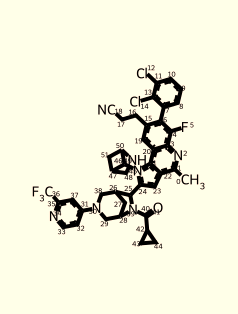 Cc1nc2c(F)c(-c3cccc(Cl)c3Cl)c(CCC#N)cc2c2c1cc(C1C3CC(CN(c4ccnc(C(F)(F)F)c4)C3)N1C(=O)C1CC1)n2C1C2CNC1C2